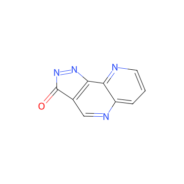 O=C1N=Nc2c1cnc1cccnc21